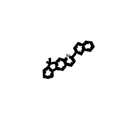 CC1(C)c2ccccc2-c2cc3ccc(-c4ccc5ccccc5c4)nc3cc21